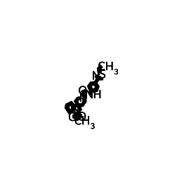 CCc1nc(-c2ccc(NC(=O)N3CCC4(CC3)CN(S(C)(=O)=O)c3ccccc34)cc2)cs1